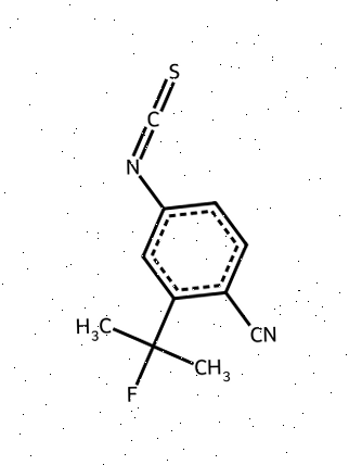 CC(C)(F)c1cc(N=C=S)ccc1C#N